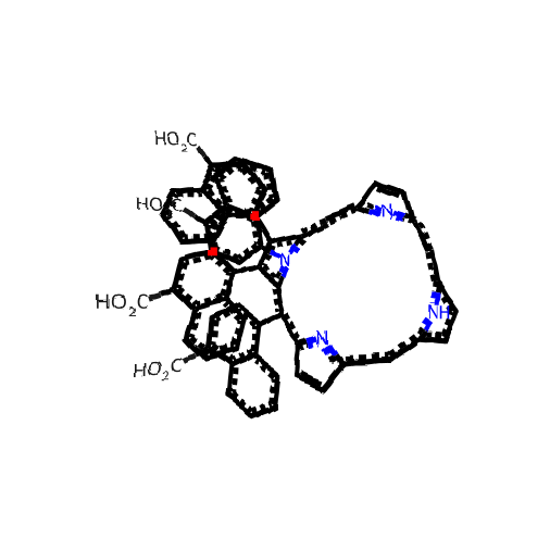 O=C(O)c1ccc(-c2c(-c3ccc(C(=O)O)c4ccccc34)c3c(-c4ccc(C(=O)O)c5ccccc45)c4nc(cc5ccc(cc6nc(cc2n3-c2ccc(C(=O)O)c3ccccc23)C=C6)[nH]5)C=C4)c2ccccc12